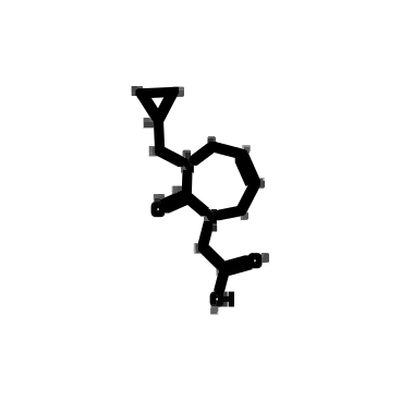 O=C(O)CN1CC=CCN(CC2CC2)C1=O